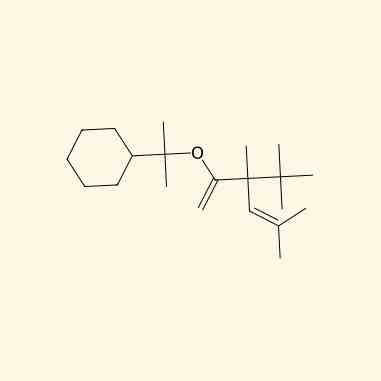 C=C(OC(C)(C)C1CCCCC1)C(C)(C=C(C)C)C(C)(C)C